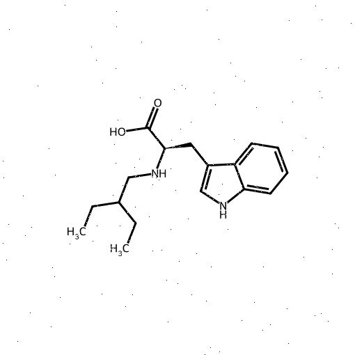 CCC(CC)CN[C@H](Cc1c[nH]c2ccccc12)C(=O)O